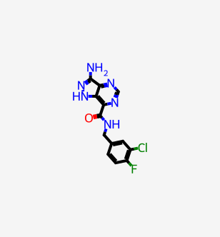 Nc1n[nH]c2c(C(=O)NCc3ccc(F)c(Cl)c3)ncnc12